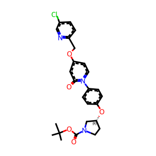 CC(C)(C)OC(=O)N1CC[C@@H](Oc2ccc(-n3ccc(OCc4ccc(Cl)cn4)cc3=O)cc2)C1